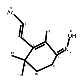 CC(=O)/C=C/C1=C(C)C(=N\O)/CCC1(C)C